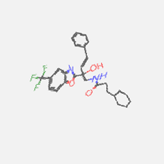 O=C(CCC1CCCCC1)NCC(O)(C=Cc1ccccc1)c1nc2cc(C(F)(F)F)ccc2o1